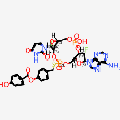 Nc1ncnc2c1ncn2[C@@H]1O[C@@H]2CO[P@@](=O)(SCc3ccc(OC(=O)c4ccc(O)cc4)cc3)O[C@@H]3[C@H](F)[C@@H](COP(=O)(O)O[C@H]2[C@H]1F)O[C@H]3n1ccc(=O)[nH]c1=O